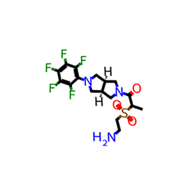 CC(C(=O)N1C[C@@H]2CN(c3c(F)c(F)c(F)c(F)c3F)C[C@@H]2C1)S(=O)(=O)CCN